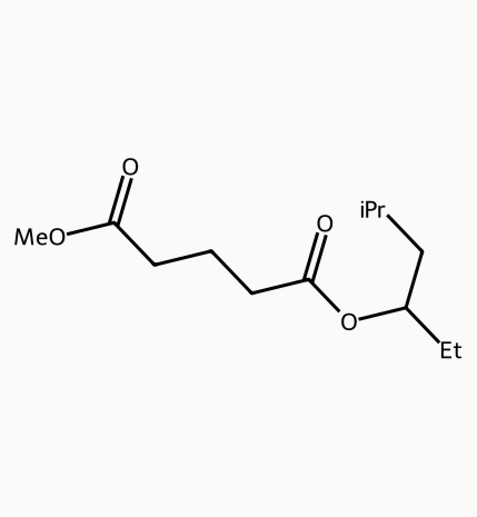 CCC(CC(C)C)OC(=O)CCCC(=O)OC